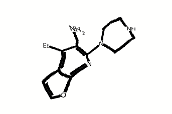 CCc1c(N)c(N2CCNCC2)nc2occc12